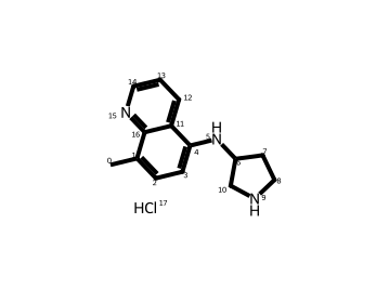 Cc1ccc(NC2CCNC2)c2cccnc12.Cl